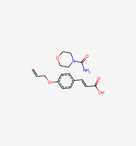 C=CCOc1ccc(/C=C/C(=O)O)cc1.NC(=O)N1CCOCC1